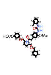 COc1cc(CC(=O)N2C(COCc3ccccc3)CCC2COc2cccc(C(=O)O)c2)ccc1NC(=O)Nc1ccccc1C